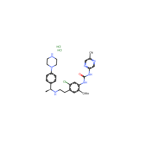 COc1cc(CCN[C@@H](C)c2ccc(N3CCNCC3)cc2)c(Cl)cc1NC(=O)Nc1cnc(C#N)cn1.Cl.Cl